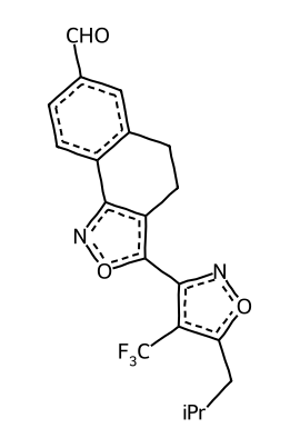 CC(C)Cc1onc(-c2onc3c2CCc2cc(C=O)ccc2-3)c1C(F)(F)F